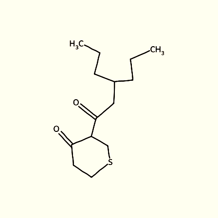 CCCC(CCC)CC(=O)C1CSCCC1=O